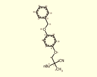 CCCCC(C)(C#N)COc1ccc(OCc2ccccc2)cc1